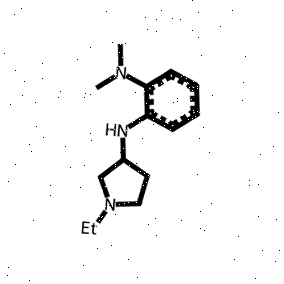 CCN1CCC(Nc2ccccc2N(C)C)C1